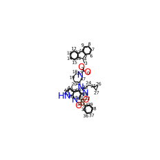 O=C(OCC1c2ccccc2-c2ccccc21)N1CCCC(n2c(CC3CC3)nc3c(S(=O)(=O)c4ccccc4)nc4[nH]ccc4c32)C1